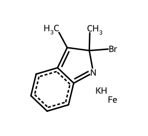 CC1=c2ccccc2=NC1(C)Br.[Fe].[KH]